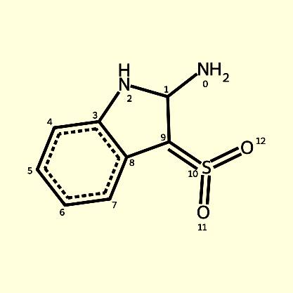 NC1Nc2ccccc2C1=S(=O)=O